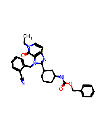 CCn1ccc2nc(C3CCCC(NC(=O)OCc4ccccc4)C3)n(Cc3ccccc3C#N)c2c1=O